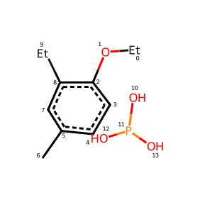 CCOc1ccc(C)cc1CC.OP(O)O